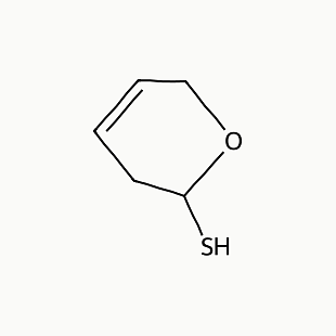 SC1CC=CCO1